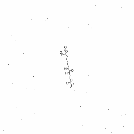 C=C(C)C(=O)OCCNC(=O)NCCCCCC(OP=O)P=O